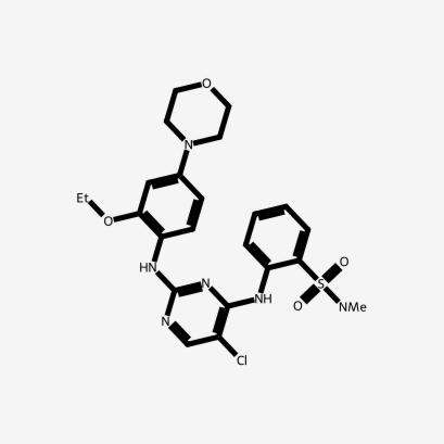 CCOc1cc(N2CCOCC2)ccc1Nc1ncc(Cl)c(Nc2ccccc2S(=O)(=O)NC)n1